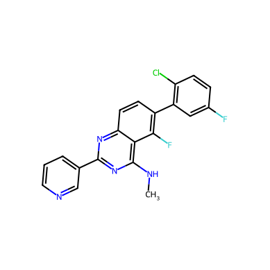 CNc1nc(-c2cccnc2)nc2ccc(-c3cc(F)ccc3Cl)c(F)c12